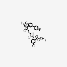 CCN(C(=O)CCCC(=O)Nc1ccc(Cl)cc1C(=O)OC)c1cc(-c2ccc(F)cc2)ccc1C